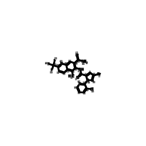 Cc1c(NC(=O)c2cc(Br)nn2-c2ncccc2Cl)c(C(N)=O)cc2nc(C(F)(F)F)ccc12